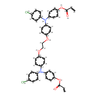 C=CC(=O)Oc1ccc(N(c2ccc(Cl)cc2)c2ccc(OCCOc3ccc(N(c4ccc(Cl)cc4)c4ccc(OC(=O)C=C)cc4)cc3)cc2)cc1